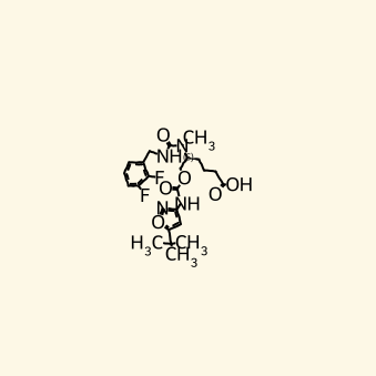 CN(C(=O)NCc1cccc(F)c1F)[C@@H](CCCC(=O)O)COC(=O)Nc1cc(C(C)(C)C)on1